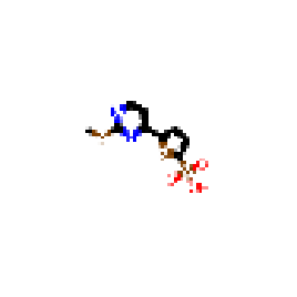 CSc1nccc(-c2ccc(S(=O)(=O)O)s2)n1